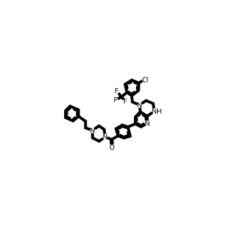 O=C(c1ccc(-c2cnc3c(c2)N(Cc2cc(Cl)ccc2C(F)(F)F)CCN3)cc1)N1CCN(CCc2ccccc2)CC1